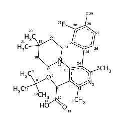 Cc1nc(C)c(C(OC(C)(C)C)C(=O)O)c(N2CCC(C)(C)CC2)c1-c1ccc(F)c(F)c1